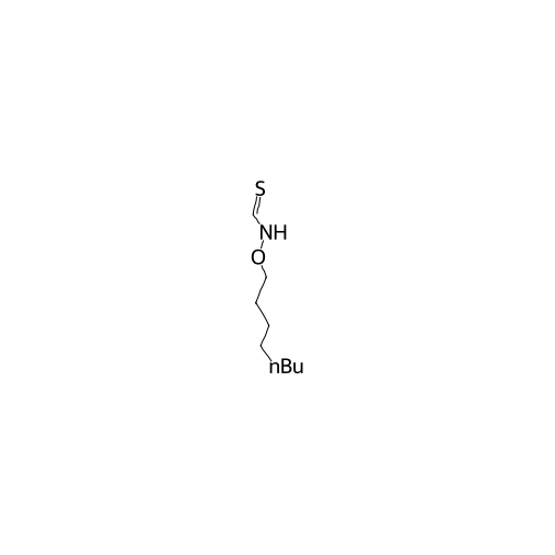 CCCCCCCCONC=S